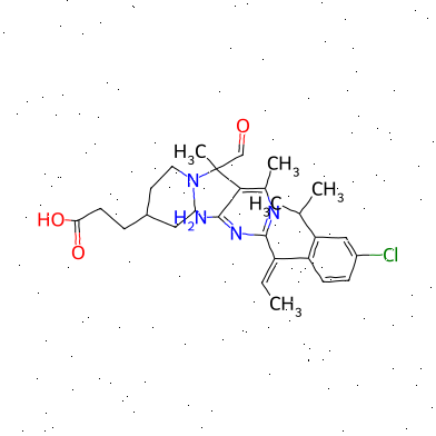 C/C=C(/c1nc(C)c(C(C)(C=O)N2CCC(CCC(=O)O)CC2)c(N)n1)c1ccc(Cl)cc1C(C)C